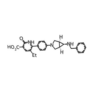 CCc1cc(C(=O)O)c(=O)[nH]c1-c1ccc(N2C[C@@H]3[C@H](C2)[C@@H]3NCc2ccccc2)cc1